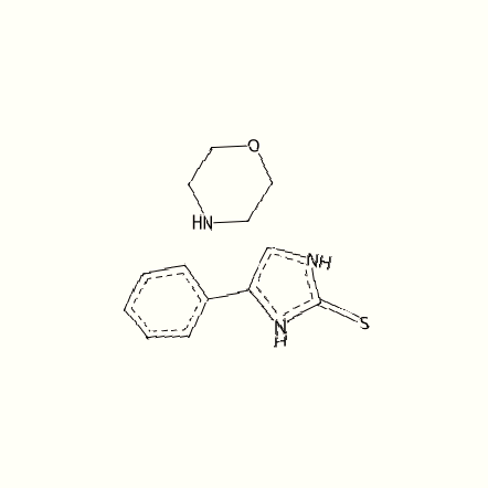 C1COCCN1.S=c1[nH]cc(-c2ccccc2)[nH]1